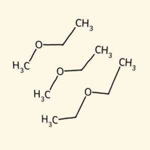 CCOC.CCOC.CCOCC